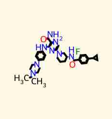 CC(C)N1CCN(c2ccc(Nc3nc(N4CCC[C@@H](NC(=O)c5ccc(C6CC6)cc5F)C4)cnc3C(N)=O)cc2)CC1